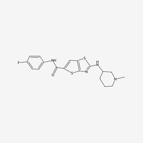 CN1CCCC(Nc2nc3sc(C(=O)Nc4ccc(F)cc4)cc3s2)C1